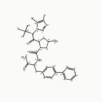 Cc1nnn(C(C(=O)N2CC(O)CC2C(=O)NC(Cc2ccc(-c3ccccc3)cc2)C(N)=O)C(C)(C)C)c1C